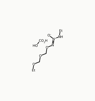 CCN/[N+]([O-])=N/OCOCOCC.O=C(O)O